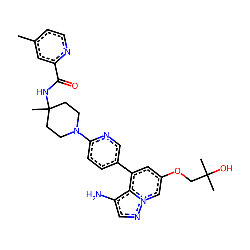 Cc1ccnc(C(=O)NC2(C)CCN(c3ccc(-c4cc(OCC(C)(C)O)cn5ncc(N)c45)cn3)CC2)c1